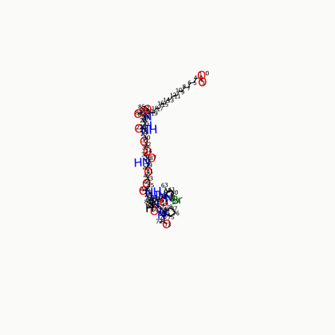 COC(=O)CCCCCCCCCCCCCCCCC(=O)N[C@@H](CCC(=O)NCCOCCOCC(=O)NCCOCCOCC(=O)NC[C@@]12C[C@@H](C(=O)Nc3nc(Br)ccc3C)N(C(=O)Cn3nc(C(C)=O)c4ccccc43)[C@@H]1C2)C(=O)OC